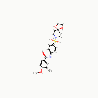 COc1ccc(C(=O)Nc2ccc(S(=O)(=O)N3CCC4(CC3)OCCO4)cc2)cc1C